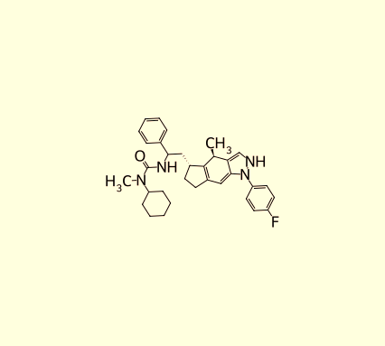 C[C@H]1C2=CNN(c3ccc(F)cc3)C2=CC2=C1[C@@H](CC(NC(=O)N(C)C1CCCCC1)c1ccccc1)CC2